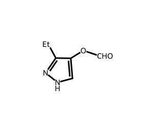 CCc1n[nH]cc1OC=O